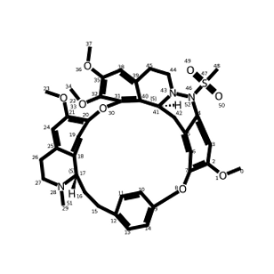 COc1cc2c3cc1Oc1ccc(cc1)CC[C@H]1c4cc(c(OC)cc4CCN1C)Oc1c(OC)c(OC)cc4c1[C@H](C3)N(CC4)N2S(C)(=O)=O